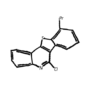 CC(C)c1cccc2c1sc1c3ccccc3nc(Cl)c21